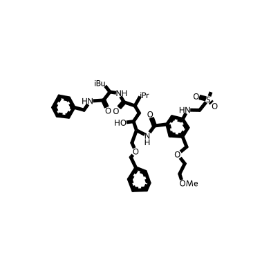 CCC(C)C(NC(=O)C(CC(O)C(COCc1ccccc1)NC(=O)c1cc(COCCOC)cc(NCS(C)(=O)=O)c1)C(C)C)C(=O)NCc1ccccc1